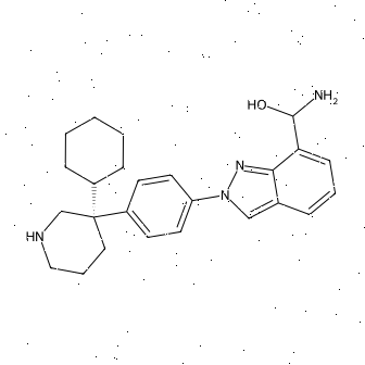 NC(O)c1cccc2cn(-c3ccc([C@@]4(C5CCCCC5)CCCNC4)cc3)nc12